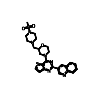 CS(=O)(=O)N1CCN(CC2CN(c3nc(-c4cnc5ccccc5c4)nc4ccsc34)CCO2)CC1